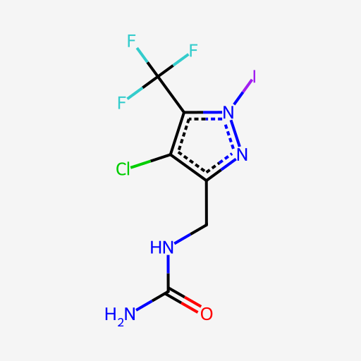 NC(=O)NCc1nn(I)c(C(F)(F)F)c1Cl